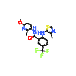 COc1ccc(NC(=O)c2cc(C(F)(F)F)ccc2Nc2scnc2C)c(C)n1